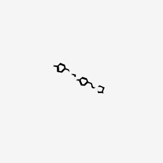 CC1CCN(C(=O)Cc2ccc(NC(=O)OCc3ccc(Cl)cc3)cc2)C1